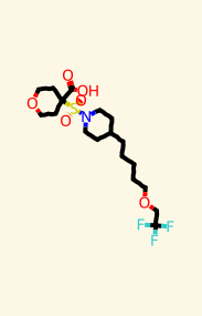 O=C(O)C1(S(=O)(=O)N2CCC(CCCCCOCC(F)(F)F)CC2)CCOCC1